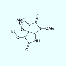 CCON1C(=O)NC2N(OC)C(=O)N(OC)C21OCC